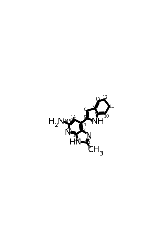 Cc1nc2c(-c3cc4c([nH]3)=CCCC=4)cc(N)nc2[nH]1